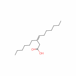 CCCCCCC=C(CCCCCC)CC(=O)O